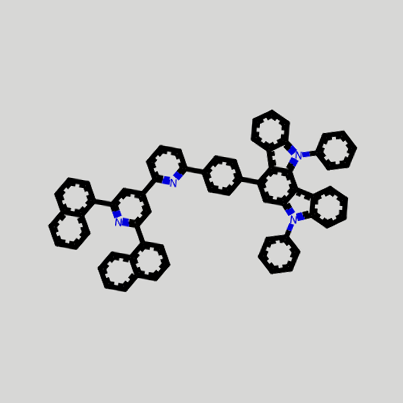 c1ccc(-n2c3ccccc3c3c2cc(-c2ccc(-c4cccc(-c5cc(-c6cccc7ccccc67)nc(-c6cccc7ccccc67)c5)n4)cc2)c2c4ccccc4n(-c4ccccc4)c23)cc1